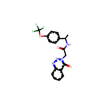 CC(NC(=O)Cn1nnc2ccccc2c1=O)c1ccc(OC(F)(F)F)cc1